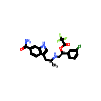 C[C@H](Cc1c[nH]c2cc(C(N)=O)ccc12)NC[C@@H](OC(=O)C(F)(F)F)c1cccc(Cl)c1